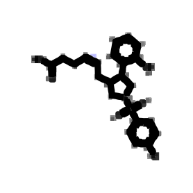 O=C(O)CC/C=C\CC1CN(S(=O)(=O)c2ccc(Cl)cc2)CC1c1ccccc1O